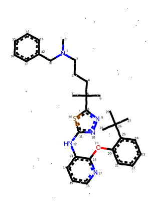 CN(CCCC(C)(C)c1nnc(Nc2cccnc2Oc2ccccc2C(C)(C)C)s1)Cc1ccccc1